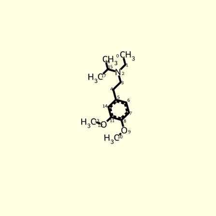 CCN(CCc1ccc(OC)c(OC)c1)C(C)C